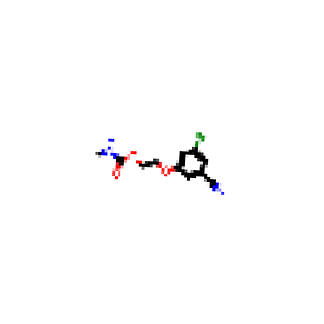 CNC(=O)OCCOc1cc(Br)cc(C#N)c1